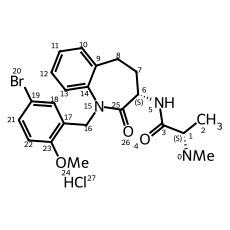 CN[C@@H](C)C(=O)N[C@H]1CCc2ccccc2N(Cc2cc(Br)ccc2OC)C1=O.Cl